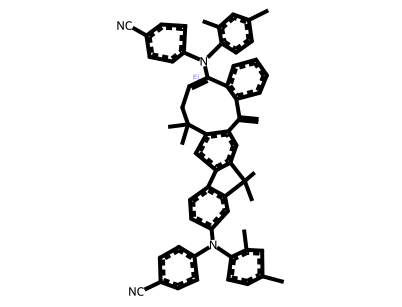 C=C1c2ccccc2/C(N(c2ccc(C#N)cc2)c2ccc(C)cc2C)=C\CC(C)(C)c2cc3c(cc21)C(C)(C)c1cc(N(c2ccc(C#N)cc2)c2ccc(C)cc2C)ccc1-3